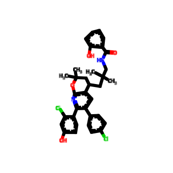 CC(C)(CNC(=O)c1ccccc1O)CC1CC(C)(C)Oc2nc(-c3ccc(O)cc3Cl)c(-c3ccc(Cl)cc3)cc21